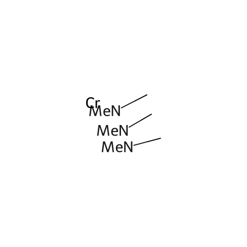 CNC.CNC.CNC.[Cr]